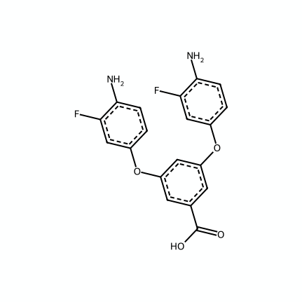 Nc1ccc(Oc2cc(Oc3ccc(N)c(F)c3)cc(C(=O)O)c2)cc1F